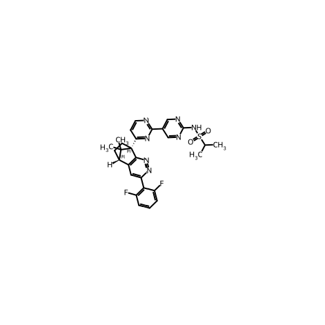 CC(C)S(=O)(=O)Nc1ncc(-c2nccc([C@]34CC[C@@H](c5cc(-c6c(F)cccc6F)nnc53)C4(C)C)n2)cn1